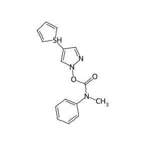 CN(C(=O)On1cc([SH]2C=CC=C2)cn1)c1ccccc1